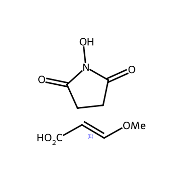 CO/C=C/C(=O)O.O=C1CCC(=O)N1O